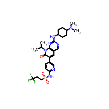 CC(C)n1c(=O)c(-c2ccc(NS(=O)(=O)CCC(F)(F)F)nc2)cc2cnc(NC3CCC(N(C)C)CC3)nc21